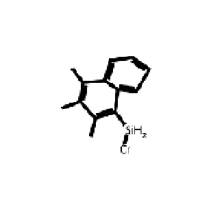 Cc1c(C)c([SiH2][Cr])c2ccccc2c1C